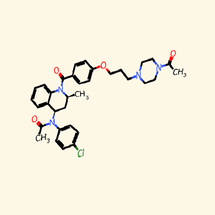 CC(=O)N1CCN(CCCOc2ccc(C(=O)N3c4ccccc4[C@H](N(C(C)=O)c4ccc(Cl)cc4)C[C@@H]3C)cc2)CC1